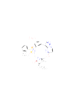 CO[C@@H]1C[C@H]2COc3ccn4ncc(c4n3)-c3cc(O)cc(c3)N(S(=O)(=O)c3ccccc3[N+](=O)[O-])CCN2C1=O